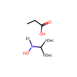 CCC(=O)O.CCCCCCCCCCC(CCCCCCCCCC)N(O)CC